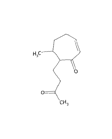 CC(=O)CCC1C(=O)C=CCCC1C